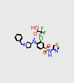 CN(c1ccc(S(=O)(=O)Nc2cscn2)cc1Cl)[C@H]1CCN(Cc2ccccc2)C1.O=C(O)C(F)(F)F